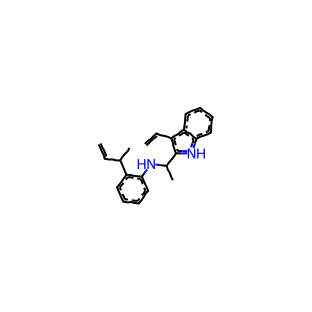 C=Cc1c(C(C)Nc2ccccc2C(C)C=C)[nH]c2ccccc12